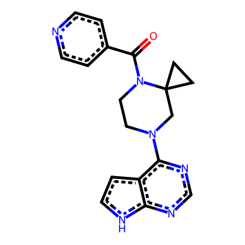 O=C(c1ccncc1)N1CCN(c2ncnc3[nH]ccc23)CC12CC2